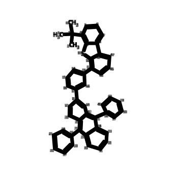 CC(C)(C)c1cccc2c1sc1c(-c3cccc(-c4ccc5c(-c6ccccc6)c6ccccc6c(-c6ccccc6)c5c4)c3)cccc12